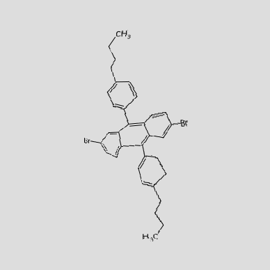 CCCCC1=CC=C(c2c3cc(Br)ccc3c(-c3ccc(CCCC)cc3)c3cc(Br)ccc23)CC1